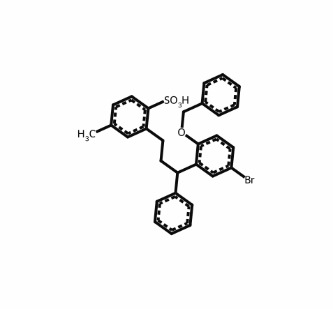 Cc1ccc(S(=O)(=O)O)c(CCC(c2ccccc2)c2cc(Br)ccc2OCc2ccccc2)c1